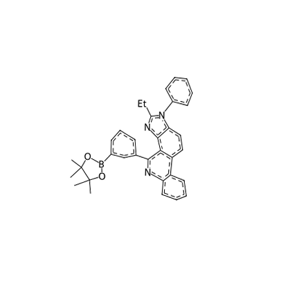 CCc1nc2c3c(-c4cccc(B5OC(C)(C)C(C)(C)O5)c4)nc4ccccc4c3ccc2n1-c1ccccc1